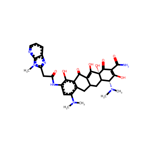 CN(C)c1cc(NC(=O)Cc2nc3cccnc3n2C)c(O)c2c1CC1CC3[C@@H](N(C)C)C(O)=C(C(N)=O)C(=O)[C@]3(O)C(O)=C1C2=O